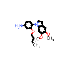 CCCCOc1cc(N)ccc1-n1ccc2cc(OC)c(OC)cc21